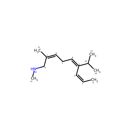 C/C=C\C(=C/CC=C(C)CNC)C(C)C